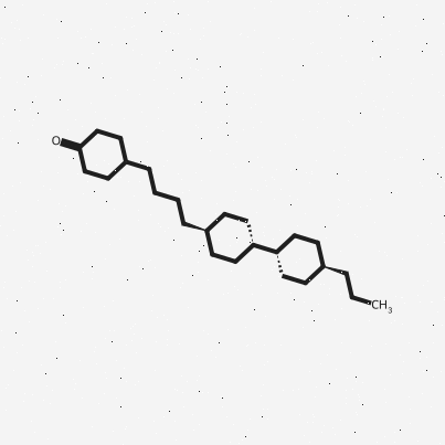 CCC[C@H]1CC[C@H]([C@H]2CC[C@H](CCCCC3CCC(=O)CC3)CC2)CC1